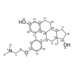 CN(C)CCOc1ccc(C2CC3(C)C(O)CCC3C3CCc4cc(O)ccc4C23)cc1